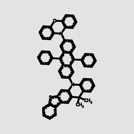 CC1(C)c2ccccc2N(c2ccc3c(-c4ccccc4)c4cc(N5c6ccccc6Oc6ccccc65)ccc4c(-c4ccccc4)c3c2)c2cc3sc4ccccc4c3cc21